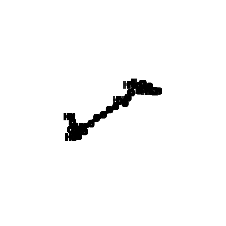 CNc1ccc(C(=O)N[C@](CCC(=O)NCCOCCOCCOCCOCCOCCNC(=O)COc2ccc(-c3[nH]nc4c3C(=O)c3c(NC(=O)NN5CCOCC5)cccc3-4)cc2)(C(=O)O)C(C)(C)C)cc1